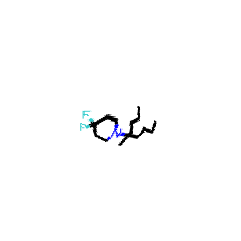 CCCCC(C)(CCC)N1CCC(F)(F)CC1